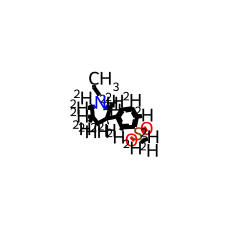 [2H]c1c([2H])c([C@]2([2H])C([2H])([2H])N(CCC)C([2H])([2H])C([2H])([2H])C2([2H])[2H])c([2H])c(S(=O)(=O)C([2H])([2H])[2H])c1[2H]